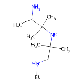 CCNCC(C)(C)NC(C)(C)C(C)N